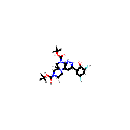 C[C@H]1CN2c3cc(-c4cc(F)cc(F)c4O)nnc3N(C(=O)OC(C)(C)C)C[C@H]2CN1C(=O)OC(C)(C)C